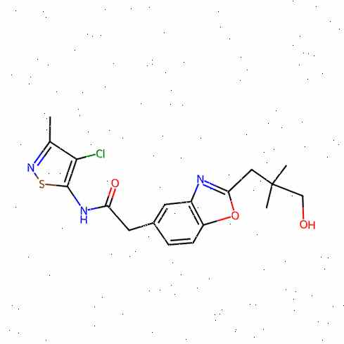 Cc1nsc(NC(=O)Cc2ccc3oc(CC(C)(C)CO)nc3c2)c1Cl